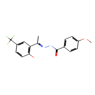 COc1ccc(C(=O)N/N=C(\C)c2cc(C(F)(F)F)ccc2O)cc1